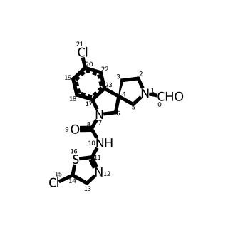 O=CN1CC[C@@]2(C1)CN(C(=O)NC1=NCC(Cl)S1)c1ccc(Cl)cc12